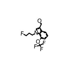 O=Cc1cn(CCCF)c2c(OC(F)(F)F)cccc12